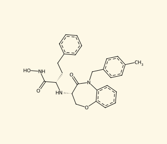 Cc1ccc(CN2C(=O)[C@@H](N[C@@H](CCc3ccccc3)C(=O)NO)COc3ccccc32)cc1